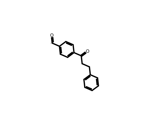 O=[C]c1ccc(C(=O)CCc2ccccc2)cc1